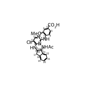 COc1cc(C(=O)O)ccc1Nc1ncc(Cl)c(N[C@@H]2Cc3ccccc3[C@@H]2NC(C)=O)n1